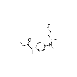 C=CCN=C(C)N(C)c1ccc(NC(=O)CC)cc1